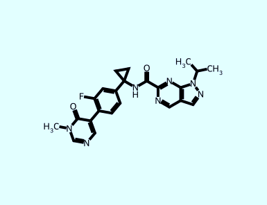 CC(C)n1ncc2cnc(C(=O)NC3(c4ccc(-c5cncn(C)c5=O)c(F)c4)CC3)nc21